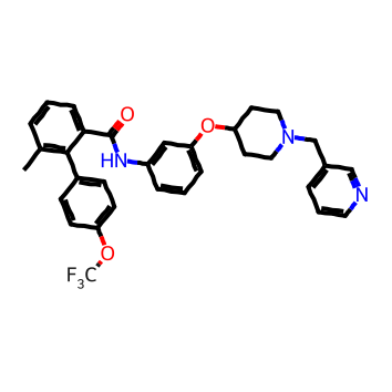 Cc1cccc(C(=O)Nc2cccc(OC3CCN(Cc4cccnc4)CC3)c2)c1-c1ccc(OC(F)(F)F)cc1